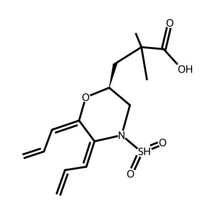 C=C/C=C1/O[C@@H](CC(C)(C)C(=O)O)CN([SH](=O)=O)/C1=C/C=C